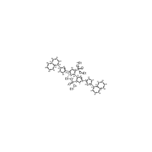 CCOP(=O)(OCC)c1cc(-c2ccc(-c3cccc4ccccc34)s2)sc1-c1sc(-c2ccc(-c3cccc4ccccc34)s2)cc1P(=O)(OCC)OCC